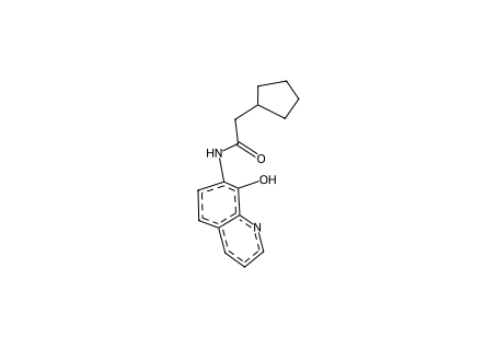 O=C(CC1CCCC1)Nc1ccc2cccnc2c1O